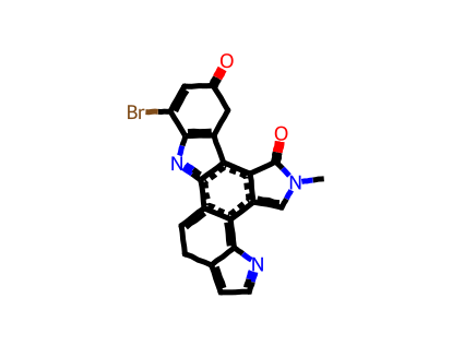 CN1C=c2c(c3c(c4c2=C2N=CC=C2CC=4)=NC2=C3CC(=O)C=C2Br)C1=O